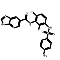 CC(C)(C)c1ccc(S(=O)(=O)Nc2ccc(F)c(NC(=O)c3cnc4[nH]cnc4c3)c2F)cc1